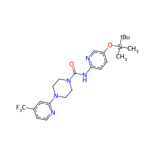 CC(C)(C)[Si](C)(C)Oc1ccc(NC(=O)N2CCN(c3cc(C(F)(F)F)ccn3)CC2)nc1